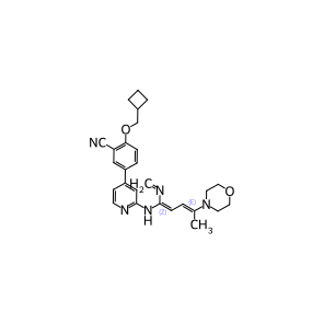 C=N/C(=C\C=C(/C)N1CCOCC1)Nc1cc(-c2ccc(OCC3CCC3)c(C#N)c2)ccn1